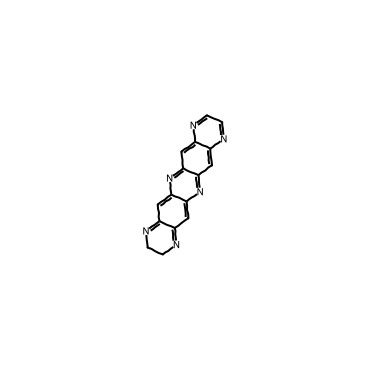 c1cnc2cc3nc4cc5c(cc4nc3cc2n1)=NCCN=5